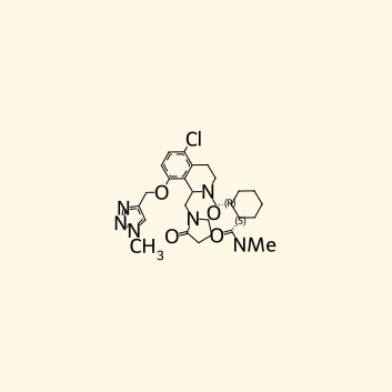 CNC(=O)[C@H]1CCCC[C@H]1C(=O)N1CCc2c(Cl)ccc(OCc3cn(C)nn3)c2C1CN1CCCC1=O